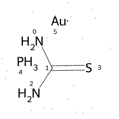 NC(N)=S.P.[Au]